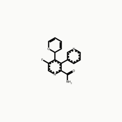 NC(=O)c1ncc(F)c(C2C=CC=CO2)c1-c1cccnc1